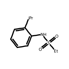 CCS(=O)(=O)Nc1ccccc1C(C)C